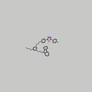 CCCCc1cc(CCCc2ccc(-c3nnc(-c4ccc(C)cc4)o3)cc2)cc(CCCn2c3ccccc3c3ccccc32)c1